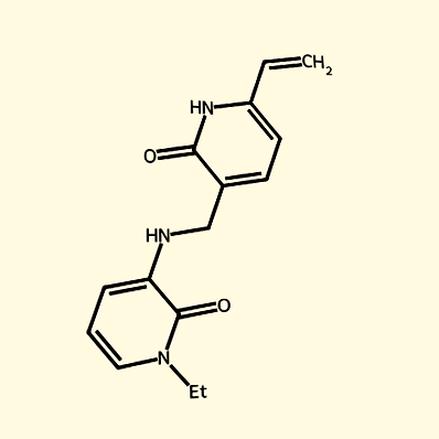 C=Cc1ccc(CNc2cccn(CC)c2=O)c(=O)[nH]1